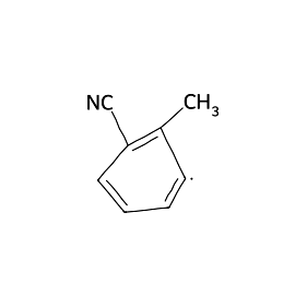 Cc1[c]cccc1C#N